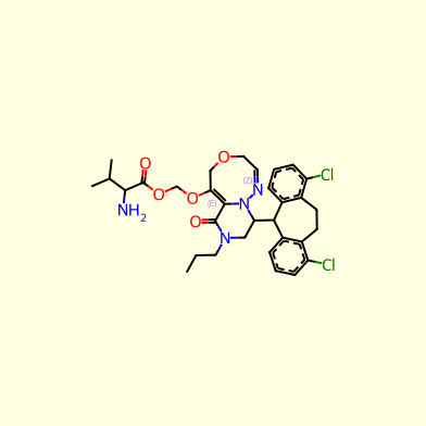 CCCN1CC(C2c3cccc(Cl)c3CCc3c(Cl)cccc32)N2/N=C\COC/C(OCOC(=O)C(N)C(C)C)=C\2C1=O